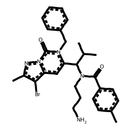 Cc1ccc(C(=O)N(CCCN)C(c2cc3c(Br)c(C)nn3c(=O)n2Cc2ccccc2)C(C)C)cc1